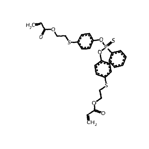 C=CC(=O)OCCSc1ccc(OP(=S)(Oc2ccc(SCCOC(=O)C=C)cc2)c2ccccc2)cc1